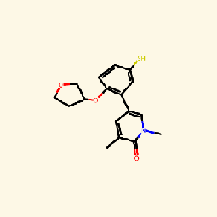 Cc1cc(-c2cc(S)ccc2OC2CCOC2)cn(C)c1=O